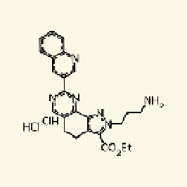 CCOC(=O)c1c2c(nn1CCCN)-c1nc(-c3cnc4ccccc4c3)ncc1CC2.Cl.Cl